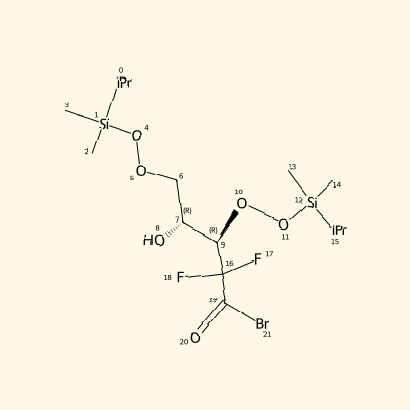 CC(C)[Si](C)(C)OOC[C@@H](O)[C@@H](OO[Si](C)(C)C(C)C)C(F)(F)C(=O)Br